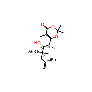 C=CC[C@](C[C@@H](C)CC)(OC)[C@H](O)[C@@H](C)C1=C(C)C(=O)OC(C)(C)O1